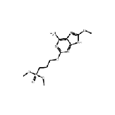 COc1nc2c(N)nc(OCCCP(=O)(OC)OC)nc2[nH]1